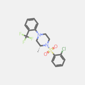 C[C@@H]1CN(c2ccccc2C(F)(F)F)CCN1S(=O)(=O)c1ccccc1Cl